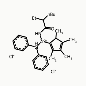 CCCCC(CC)C(=O)[NH][Zr+2]([C]1=C(C)C(C)=C(C)C1C)[SiH](c1ccccc1)c1ccccc1.[Cl-].[Cl-]